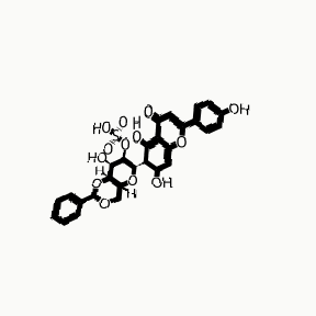 O=c1cc(-c2ccc(O)cc2)oc2c1=C(O)C([C@@H]1O[C@@H]3COC(c4ccccc4)O[C@H]3[C@H](O)[C@H]1OS(=O)(=O)O)C(O)C=2